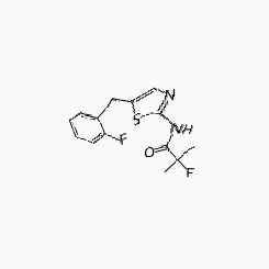 CC(C)(F)C(=O)Nc1ncc(Cc2ccccc2F)s1